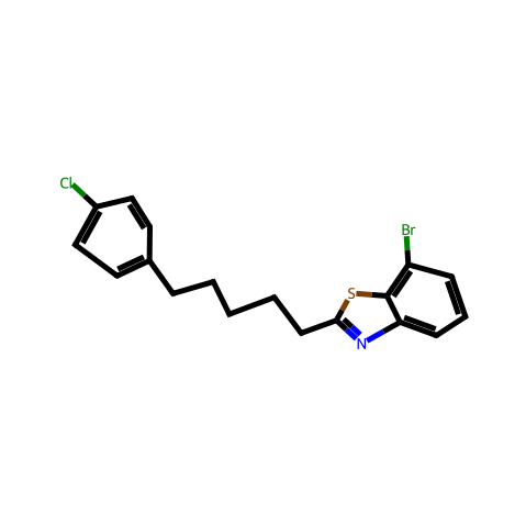 Clc1ccc(CCCCCc2nc3cccc(Br)c3s2)cc1